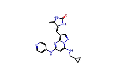 C=c1[nH]c(=O)[nH]/c1=C\c1cnn2c(NCC3CC3)cc(Nc3ccncc3)nc12